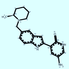 C[C@H]1CCCCN1Cc1ccc2[nH]c(-c3cc(N)c[nH]c3=O)cc2c1